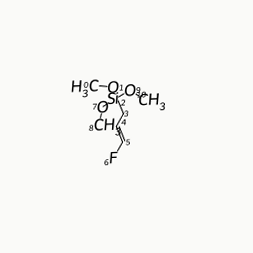 CO[Si](CC=CF)(OC)OC